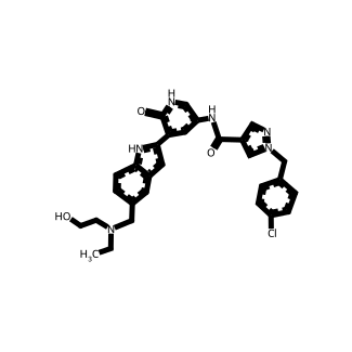 CCN(CCO)Cc1ccc2[nH]c(-c3cc(NC(=O)c4cnn(Cc5ccc(Cl)cc5)c4)c[nH]c3=O)cc2c1